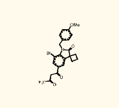 COc1ccc(CN2C(=O)C3(CCC3)c3cc(C(=O)CC(=O)C(F)(F)F)cc(Br)c32)cc1